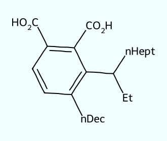 CCCCCCCCCCc1ccc(C(=O)O)c(C(=O)O)c1C(CC)CCCCCCC